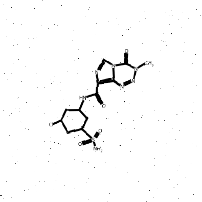 Cn1nnc2c(C(=O)NC3CC(Cl)CC(S(N)(=O)=O)C3)ncn2c1=O